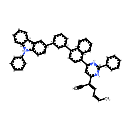 C#C/C(=C\C=C/C)c1cc(-c2ccc(-c3cccc(-c4ccc5c(c4)c4ccccc4n5-c4ccccc4)c3)c3ccccc23)nc(-c2ccccc2)n1